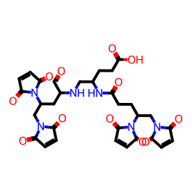 O=CC(CC(CN1C(=O)C=CC1=O)N1C(=O)C=CC1=O)NCC(CCC(=O)O)NC(=O)CCC(CN1C(=O)C=CC1=O)N1C(=O)C=CC1=O